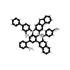 Cc1ccccc1-c1cc(-c2cc3ccccc3cc2Nc2ccc(C(C)(C)C)cc2)c2c(c1)N(c1ccc(-c3ccccc3)cc1C)c1cc3c(cc1B2)-c1ccccc1C3